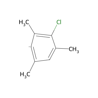 Cc1[c]c(C)c(Cl)c(C)c1